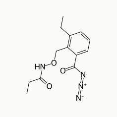 CCC(=O)NOCc1c(CC)cccc1C(=O)N=[N+]=[N-]